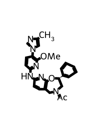 COc1nc(Nc2ccc3c(n2)O[C@H](c2ccccc2)CN(C(C)=O)C3)ccc1-n1cnc(C)c1